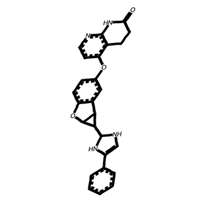 O=C1CCc2c(Oc3ccc4c(c3)C3C(O4)C3C3NC=C(c4ccccc4)N3)ccnc2N1